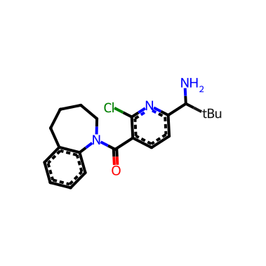 CC(C)(C)C(N)c1ccc(C(=O)N2CCCCc3ccccc32)c(Cl)n1